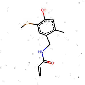 C=CC(=O)NCc1cc(SC)c(O)cc1C